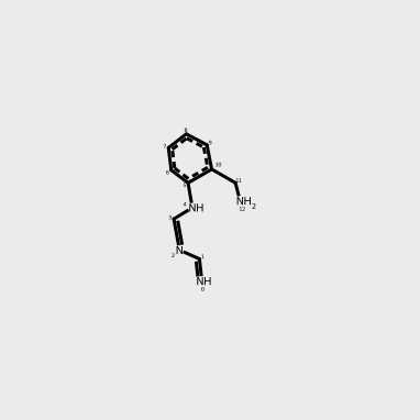 N=C/N=C\Nc1ccccc1CN